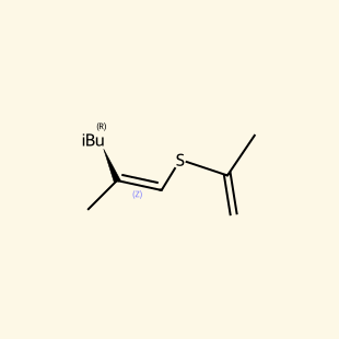 C=C(C)S/C=C(/C)[C@H](C)CC